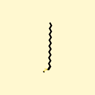 CCCCCCCCCCCCCCC/C=[C]\SC